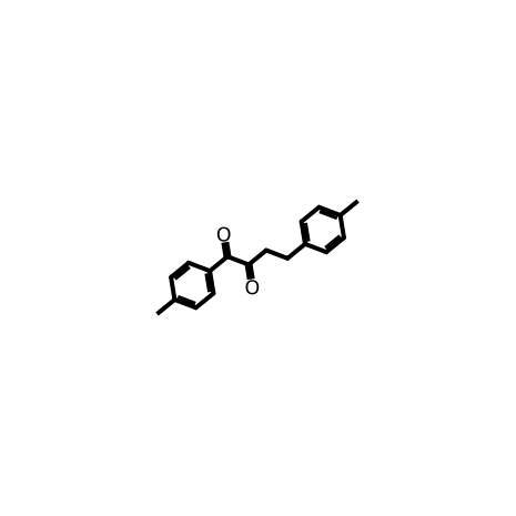 Cc1ccc(CCC(=O)C(=O)c2ccc(C)cc2)cc1